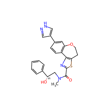 CN(C[C@H](O)c1ccccc1)C(=O)c1nc2c(s1)CCOc1cc(-c3cn[nH]c3)ccc1-2